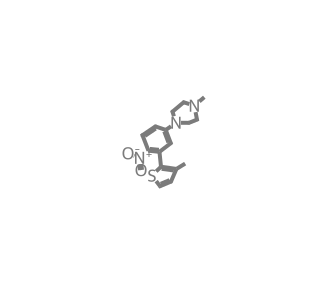 Cc1ccsc1-c1cc(N2CCN(C)CC2)ccc1[N+](=O)[O-]